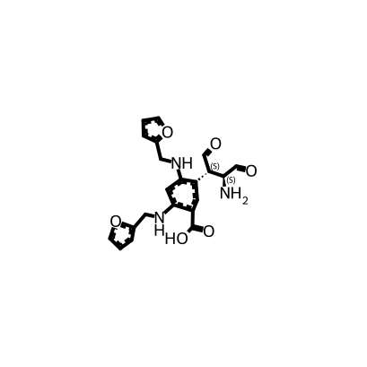 N[C@H](C=O)[C@@H](C=O)c1cc(C(=O)O)c(NCc2ccco2)cc1NCc1ccco1